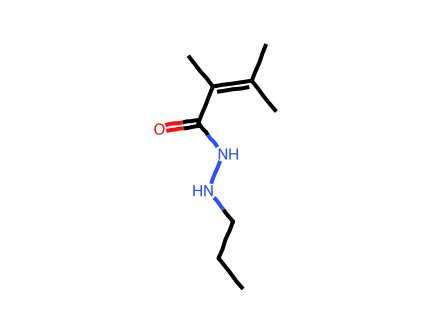 CCCNNC(=O)C(C)=C(C)C